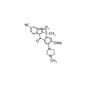 COc1cc2c(cc1N1CCN(C)CC1)C(=O)c1c([nH]c3cc(C#N)ccc13)C2(C)C